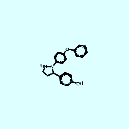 Oc1ccc(C2CCNN2c2ccc(Oc3ccccc3)cc2)cc1